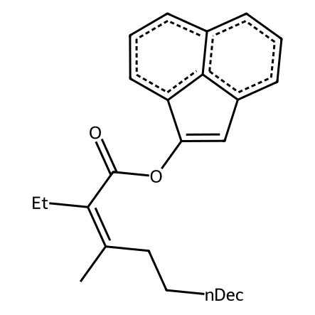 CCCCCCCCCCCCC(C)=C(CC)C(=O)OC1=Cc2cccc3cccc1c23